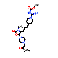 COC(=O)CN1CCN(C2OC(=O)N(C)C2CCCC2CCN(C(=N)NC(=O)OC(C)(C)C)CC2)CC1